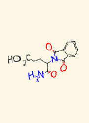 NC(=O)C(CCC(=O)O)N1C(=O)c2ccccc2C1=O